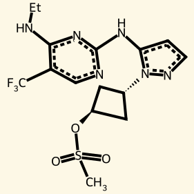 CCNc1nc(Nc2ccnn2[C@H]2C[C@H](OS(C)(=O)=O)C2)ncc1C(F)(F)F